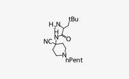 CCCCCN1CCC(C#N)(NC(=O)C(N)CC(C)(C)C)CC1